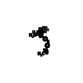 CCOC(=O)C(CC)(CCc1ccc(Sc2ccc(-c3coc(C)n3)cc2)cc1)NC(C)=O